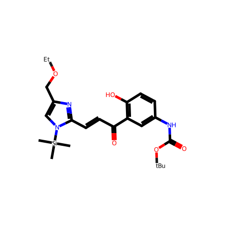 CCOCc1cn([Si](C)(C)C)c(C=CC(=O)c2cc(NC(=O)OC(C)(C)C)ccc2O)n1